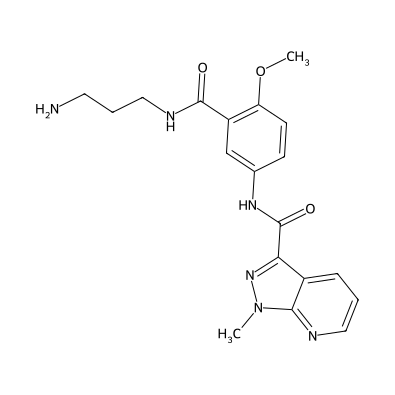 COc1ccc(NC(=O)c2nn(C)c3ncccc23)cc1C(=O)NCCCN